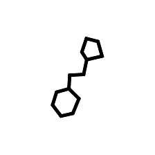 C1CC[C](CCC2CCCC2)CC1